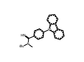 CCC(C)N(C)C(=N)c1ccc(-n2c3ccccc3c3ccccc32)cc1